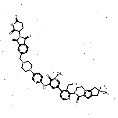 Cn1cc(-c2ccnc(N3CCn4c(cc5c4CC(C)(C)C5)C3=O)c2CO)cc(Nc2ccc(N3CCN(Cc4ccc5c(c4)C(=O)N(C4CCC(=O)NC4=O)C5=O)CC3)cn2)c1=O